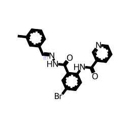 Cc1cccc(/C=N/NC(=O)c2cc(Br)ccc2NC(=O)c2cccnc2)c1